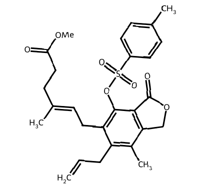 C=CCc1c(C)c2c(c(OS(=O)(=O)c3ccc(C)cc3)c1C/C=C(\C)CCC(=O)OC)C(=O)OC2